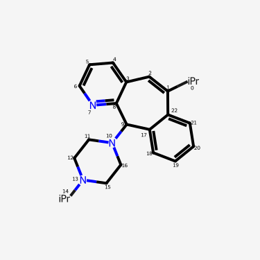 CC(C)C1=Cc2cccnc2C(N2CCN(C(C)C)CC2)c2ccccc21